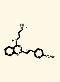 COc1ccc(/C=C/c2nc(NCCCN)c3ccccc3n2)cc1